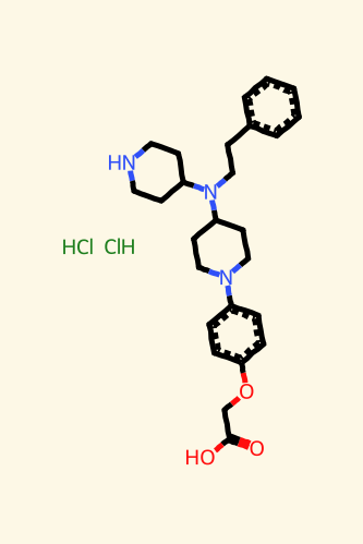 Cl.Cl.O=C(O)COc1ccc(N2CCC(N(CCc3ccccc3)C3CCNCC3)CC2)cc1